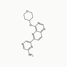 Nc1cncc(-c2ccc3ncnc(OC4CCOCC4)c3n2)n1